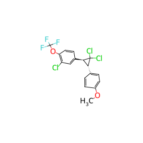 COc1ccc([C@@H]2[C@@H](c3ccc(OC(F)(F)F)c(Cl)c3)C2(Cl)Cl)cc1